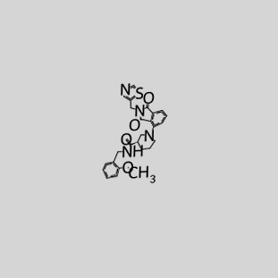 COc1ccccc1CNC(=O)[C@@H]1CCCN(c2cccc3c2C(=O)N(Cc2cncs2)C3=O)C1